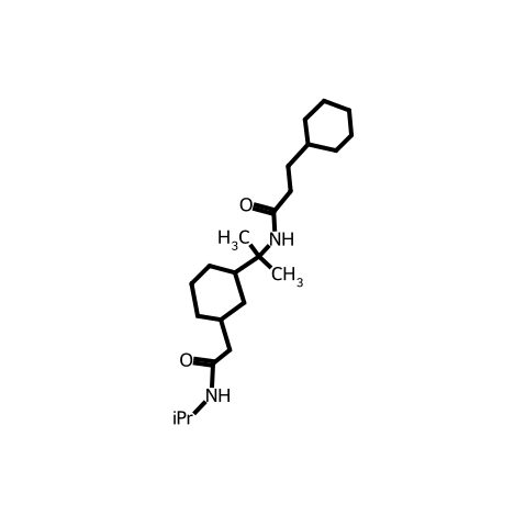 CC(C)NC(=O)CC1CCCC(C(C)(C)NC(=O)CCC2CCCCC2)C1